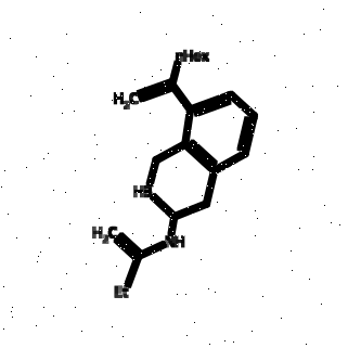 C=C(CC)NC1BCc2c(cccc2C(=C)CCCCCC)C1